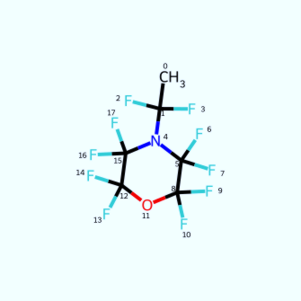 CC(F)(F)N1C(F)(F)C(F)(F)OC(F)(F)C1(F)F